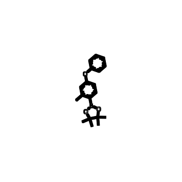 Cc1cc(Oc2ccccc2)ccc1B1OC(C)(C)C(C)(C)O1